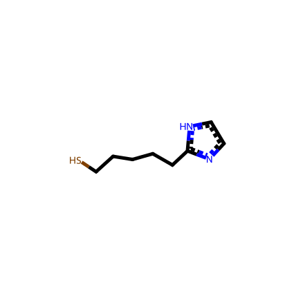 SCCCCCc1ncc[nH]1